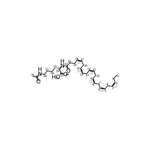 CC/C=C\C/C=C\C/C=C\C/C=C\C/C=C\C/C=C\CCC(=O)N[C@@H](CCCCNC(C)=O)C(=O)O